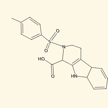 Cc1ccc(S(=O)(=O)N2CCC3=C(NC4C=CC=CC34)C2C(=O)O)cc1